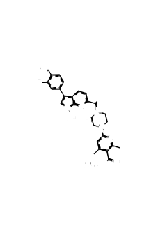 COC(=O)c1c(C)cc(N2CCN(C(=O)c3ccc4c(-c5ccc(Cl)c(F)c5)cn(C(C)(C)C)c4n3)[C@@H](C)C2)nc1C